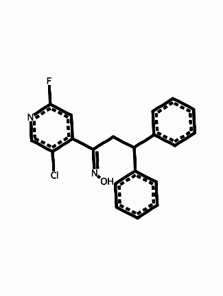 O/N=C(\CC(c1ccccc1)c1ccccc1)c1cc(F)ncc1Cl